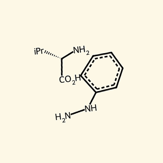 CC(C)[C@H](N)C(=O)O.NNc1ccccc1